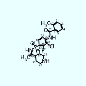 Cc1ccccc1C(=O)Nc1ccc(S(=O)(=O)N[C@H](C)C2CCNCC2)c(F)c1Cl